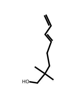 C=CC=CCCC(C)(C)CO